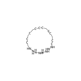 C1CCCCCCCNNNNNNNNCCCCCCC1